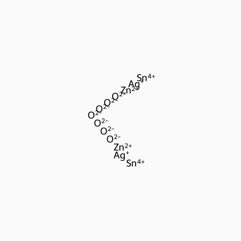 [Ag+].[Ag+].[O-2].[O-2].[O-2].[O-2].[O-2].[O-2].[O-2].[Sn+4].[Sn+4].[Zn+2].[Zn+2]